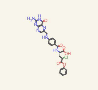 Nc1nc2ncc(CNc3ccc(C(=O)N[C@@H](CC(Cl)C(=O)Oc4ccccc4)C(=O)O)cc3)nc2c(=O)[nH]1